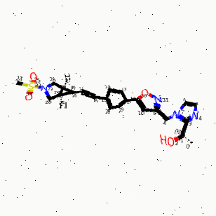 C[C@H](O)c1nccn1Cc1cc(-c2ccc(C#C[C@H]3[C@H]4CN(S(C)(=O)=O)C[C@@H]34)cc2)on1